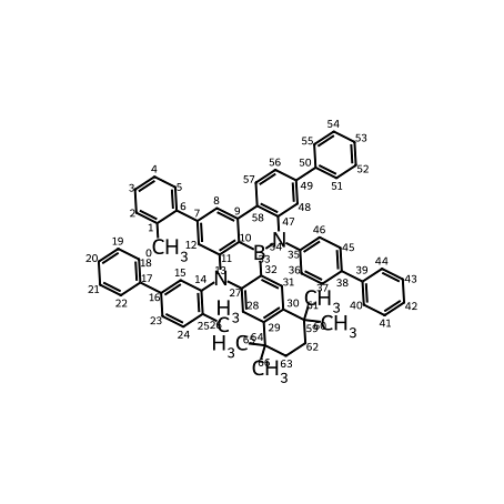 Cc1ccccc1-c1cc2c3c(c1)N(c1cc(-c4ccccc4)ccc1C)c1cc4c(cc1B3N(c1ccc(-c3ccccc3)cc1)c1cc(-c3ccccc3)ccc1-2)C(C)(C)CCC4(C)C